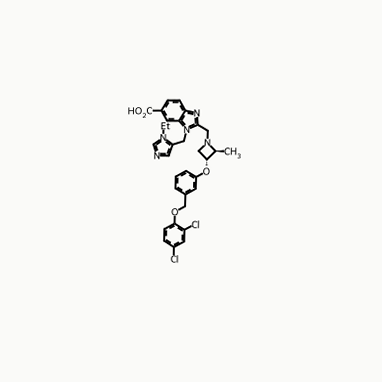 CCn1cncc1Cn1c(CN2C[C@@H](Oc3cccc(COc4ccc(Cl)cc4Cl)c3)[C@@H]2C)nc2ccc(C(=O)O)cc21